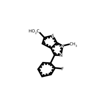 Cn1nc(-c2ccccc2F)c2cc(C(=O)O)sc21